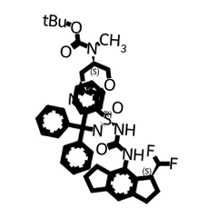 CN(C(=O)OC(C)(C)C)[C@@H]1COc2c([S@](=O)(=NC(c3ccccc3)(c3ccccc3)c3ccccc3)NC(=O)Nc3c4c(cc5c3[C@@H](C(F)F)CC5)CCC4)cnn2C1